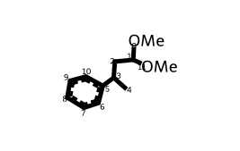 COC(CC(C)c1ccccc1)OC